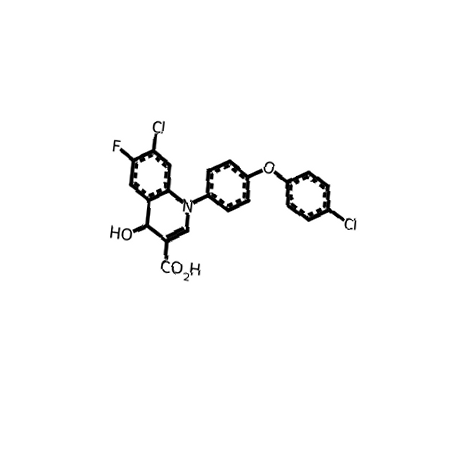 O=C(O)C1=CN(c2ccc(Oc3ccc(Cl)cc3)cc2)c2cc(Cl)c(F)cc2C1O